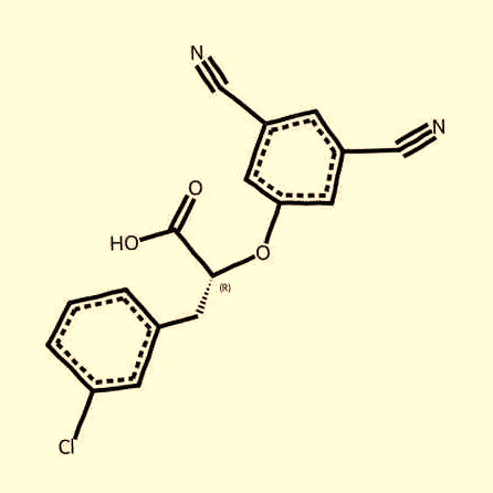 N#Cc1cc(C#N)cc(O[C@H](Cc2cccc(Cl)c2)C(=O)O)c1